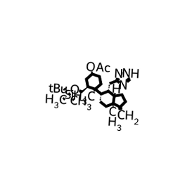 C=C1CC[C@H]2[C@@H](Cc3nc[nH]n3)[C@@H]([C@@]3(C)CC[C@H](OC(C)=O)C[C@@H]3CO[Si](C)(C)C(C)(C)C)CC[C@]12C